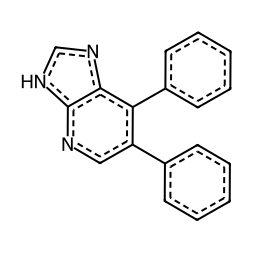 c1ccc(-c2cnc3[nH]cnc3c2-c2ccccc2)cc1